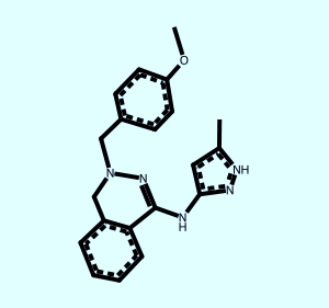 COc1ccc(CN2Cc3ccccc3C(Nc3cc(C)[nH]n3)=N2)cc1